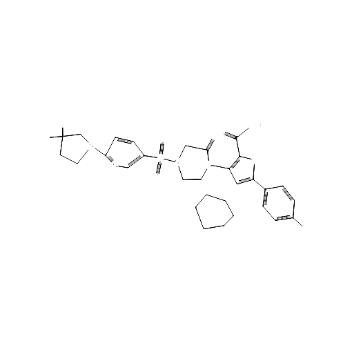 O=C(O)c1sc(-c2ccc(F)cc2)cc1N1C(=O)CN(S(=O)(=O)c2ccc(N3CCC(F)(F)C3)nc2)C[C@H]1C1CCCCC1